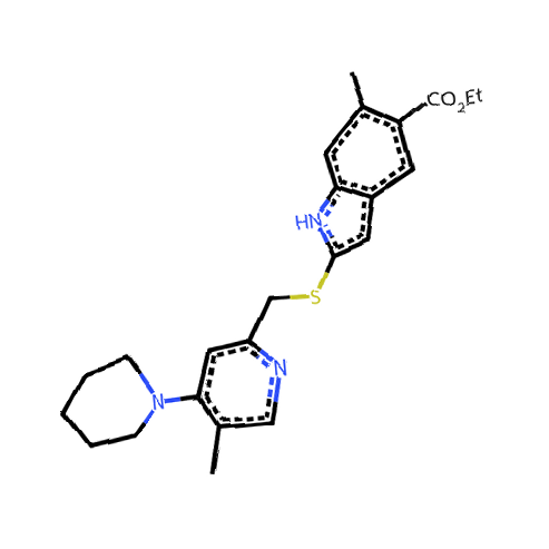 CCOC(=O)c1cc2cc(SCc3cc(N4CCCCC4)c(C)cn3)[nH]c2cc1C